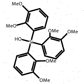 COc1cccc([Si](O)(c2cccc(OC)c2OC)c2cccc(OC)c2OC)c1OC